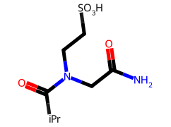 CC(C)C(=O)N(CCS(=O)(=O)O)CC(N)=O